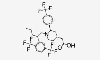 CCCC(CN1CC[C@H](CC(=O)O)C[C@@H]1c1ccc(C(F)(F)F)cc1)c1cc(C(F)(F)F)ccc1C(F)(F)F